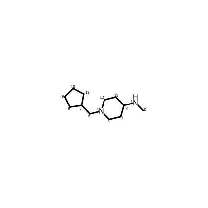 CNC1CCN(CC2CCCC2)CC1